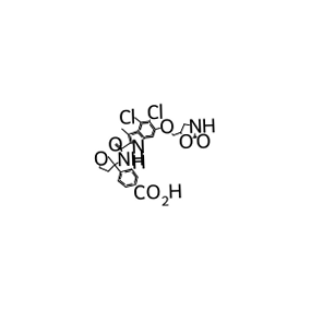 Cc1c(C(=O)NC2(c3ccc(C(=O)O)cc3)CCOC2)[nH]c2cc(OCC3CNC(=O)O3)c(Cl)c(Cl)c12